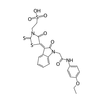 CCOc1ccc(NC(=O)CN2C(=O)C(=C3SC(=S)N(CCS(=O)(=O)O)C3=O)c3ccccc32)cc1